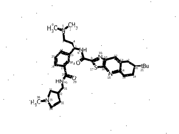 CN(C)CC[C@@H](NC(=O)c1nc2cc3c(nc2s1)CC[C@H](C(C)(C)C)C3)c1cccc(C(=O)NCC2CCN(C)C2)c1